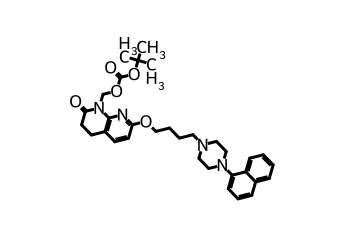 CC(C)(C)OC(=O)OCN1C(=O)CCc2ccc(OCCCCN3CCN(c4cccc5ccccc45)CC3)nc21